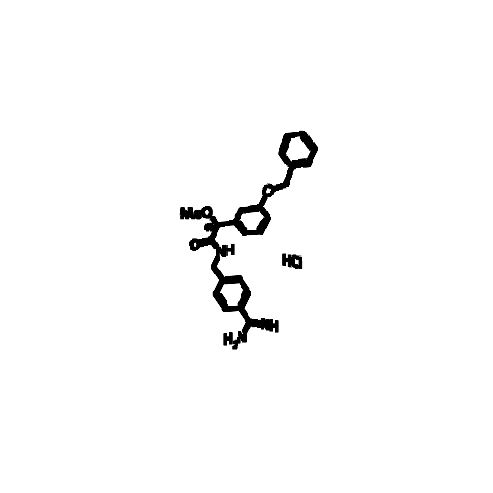 CO[C@H](C(=O)NCc1ccc(C(=N)N)cc1)c1cccc(OCc2ccccc2)c1.Cl